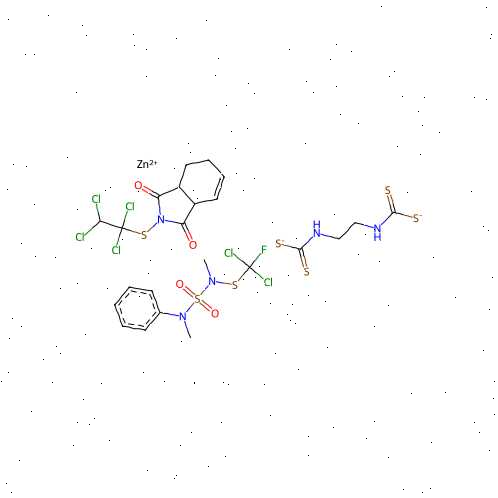 CN(SC(F)(Cl)Cl)S(=O)(=O)N(C)c1ccccc1.O=C1C2C=CCCC2C(=O)N1SC(Cl)(Cl)C(Cl)Cl.S=C([S-])NCCNC(=S)[S-].[Zn+2]